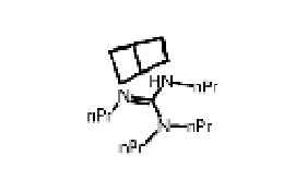 C1CC2CCC12.CCCN=C(NCCC)N(CCC)CCC